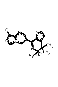 CC1(C)N=C(c2cnc3c(F)ncn3c2)c2sccc2C1(C)C